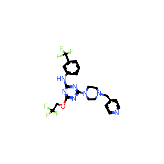 FC(F)(F)COc1nc(Nc2cccc(C(F)(F)F)c2)nc(N2CCN(Cc3ccncc3)CC2)n1